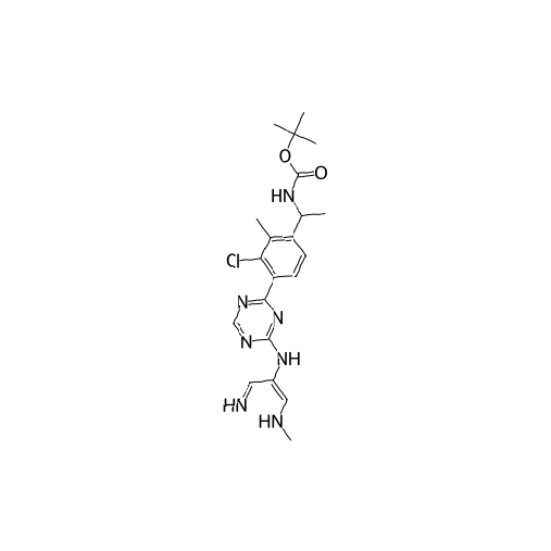 CN/C=C(\C=N)Nc1ncnc(-c2ccc(C(C)NC(=O)OC(C)(C)C)c(C)c2Cl)n1